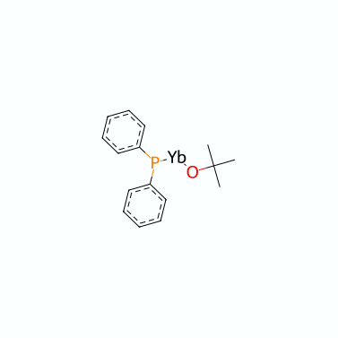 CC(C)(C)[O][Yb][P](c1ccccc1)c1ccccc1